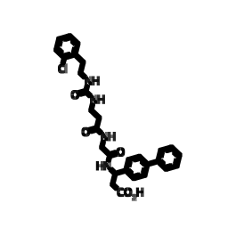 O=C(O)CC(NC(=O)CNC(=O)CCNC(=O)NCCc1ccccc1Cl)c1ccc(-c2ccccc2)cc1